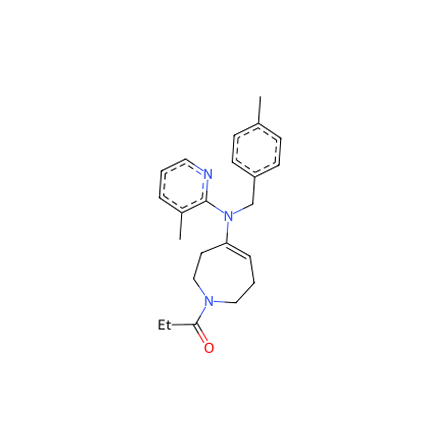 CCC(=O)N1CCC=C(N(Cc2ccc(C)cc2)c2ncccc2C)CC1